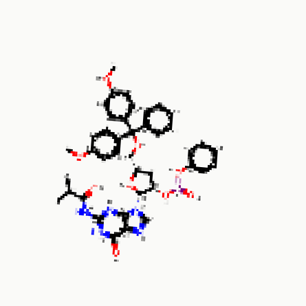 COc1ccc(C(OC[C@@H]2C[C@H](O[PH](=O)Oc3ccccc3)[C@H](n3cnc4c(=O)[nH]c(NC(=O)C(C)C)nc43)O2)(c2ccccc2)c2ccc(OC)cc2)cc1